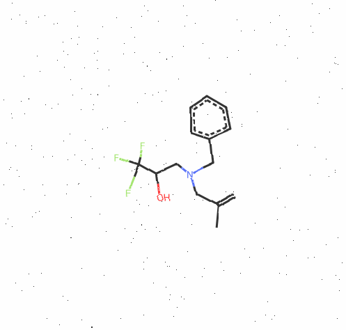 C=C(C)CN(Cc1ccccc1)CC(O)C(F)(F)F